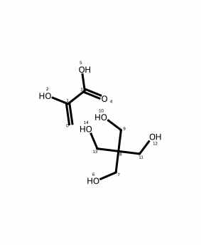 C=C(O)C(=O)O.OCC(CO)(CO)CO